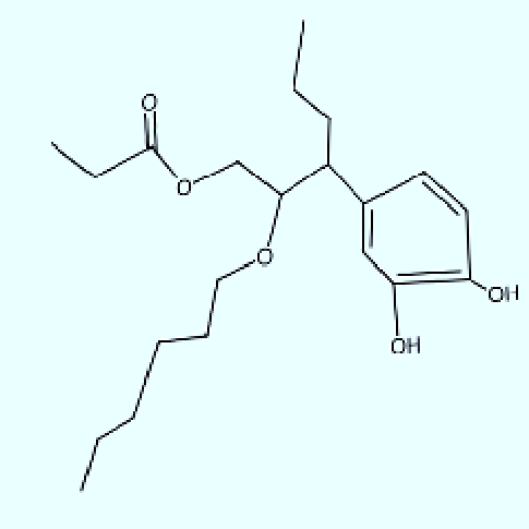 CCCCCCOC(COC(=O)CC)C(CCC)c1ccc(O)c(O)c1